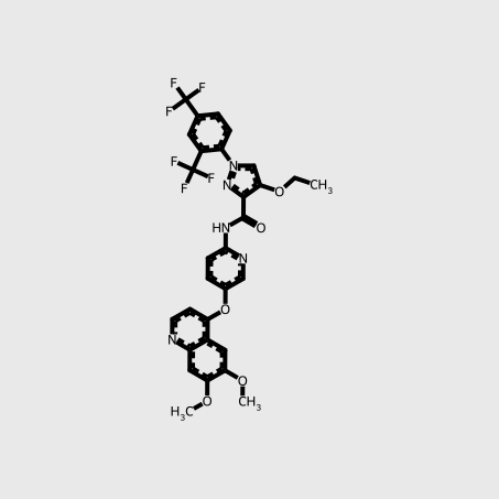 CCOc1cn(-c2ccc(C(F)(F)F)cc2C(F)(F)F)nc1C(=O)Nc1ccc(Oc2ccnc3cc(OC)c(OC)cc23)cn1